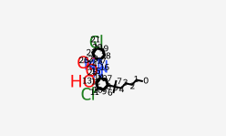 CCCCCC(C)(C)c1cc(Cl)c(O)c(N=Nc2ccc(Cl)cc2[N+](=O)[O-])c1